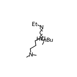 CCCCC.CCN=C=NCCCN(C)C.Cl